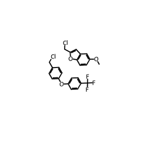 COc1ccc2oc(CCl)cc2c1.FC(F)(F)c1ccc(Oc2ccc(CCl)cc2)cc1